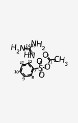 CC(=O)OS(=O)(=O)c1ccccc1.N=C(N)N